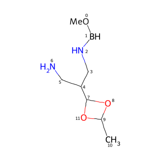 COBNCC(CN)C1OC(C)O1